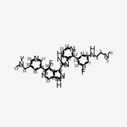 CN(C)CCNc1cc(F)cc(-c2nccc3[nH]c(-c4n[nH]c5cnc(-c6cncc(CN(C)C)c6)c(F)c45)nc23)c1